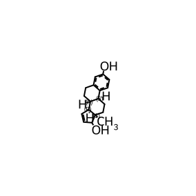 C[C@]12CC[C@@H]3c4ccc(O)cc4CC[C@H]3[C@@H]1C=CC2O